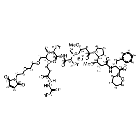 CCCC(=O)NNC(=O)CCOC(COCCOCCN1C(=O)C=CC1=O)N(C)[C@H](C(=O)NC(=O)[C@H](C(C)C)N(C)[C@@H]([C@@H](C)CC)[C@@H](CC(=O)N1CCC[C@H]1[C@H](OC)[C@@H](C)C(=O)N[C@@H](Cc1ccccc1)C(=O)N1CCCCO1)OC)C(C)C